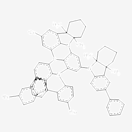 CC(C)(C)c1ccc(N2c3cc(N4c5ccc(-c6ccccc6)cc5C5(C)CCCCC45C)cc4c3B(c3cc(C(C)(C)C)cc5c3N4C3(C)CCCCC53C)c3ccc4c(oc5ccc(C(C)(C)C)cc54)c32)c(-c2ccccc2)c1